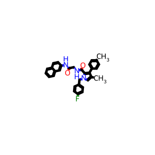 Cc1ccc(-c2c(C)cn(Cc3ccc(F)cc3)c2C(=O)NCC(=O)Nc2ccc3ccccc3c2)cc1